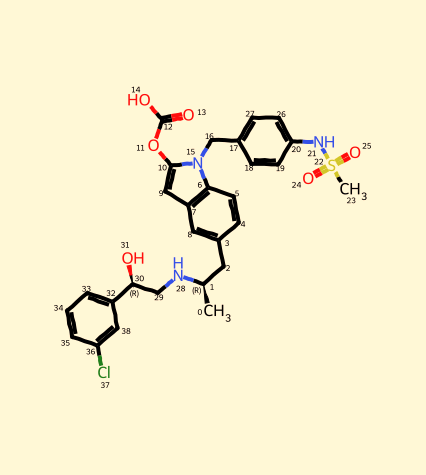 C[C@H](Cc1ccc2c(c1)cc(OC(=O)O)n2Cc1ccc(NS(C)(=O)=O)cc1)NC[C@H](O)c1cccc(Cl)c1